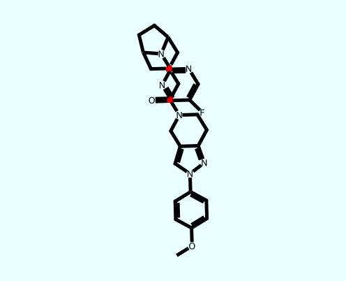 COc1ccc(-n2cc3c(n2)CCN(C(=O)CN2CC4CCC(C2)N4c2ncc(F)cn2)C3)cc1